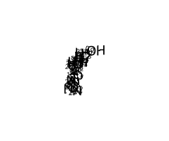 C[C@@]1(O)CC[C@H]2[C@H](CC[C@@H]3[C@@H]2CC[C@]2(C)[C@@H](C(=O)Cn4cc5ncncc5n4)CC[C@@H]32)C1